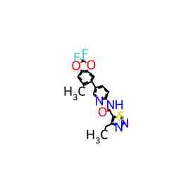 CCc1nnsc1C(=O)Nc1ccc(-c2cc3c(cc2C)OC(F)(F)O3)cn1